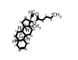 C#C[C@]1(OC(=O)CCCC)CC[C@H]2[C@@H]3CC[C@H]4CC=CC[C@]4(C)[C@H]3CC[C@@]21C